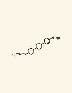 CCCCCCCc1ccc(C2CCC(C3CCC(CCC=CC#N)CC3)CC2)cc1